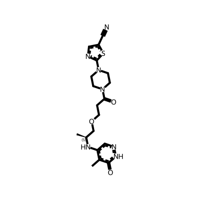 Cc1c(N[C@@H](C)COCCC(=O)N2CCN(c3ncc(C#N)s3)CC2)cn[nH]c1=O